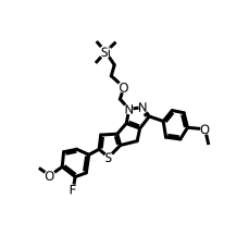 COc1ccc(-c2nn(COCC[Si](C)(C)C)c3c2Cc2sc(-c4ccc(OC)c(F)c4)cc2-3)cc1